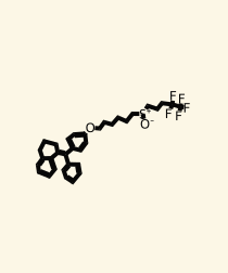 [O-][S+](CCCCCCOc1ccc(/C(=C2\CCCc3ccccc32)c2ccccc2)cc1)CCCC(F)(F)C(F)(F)F